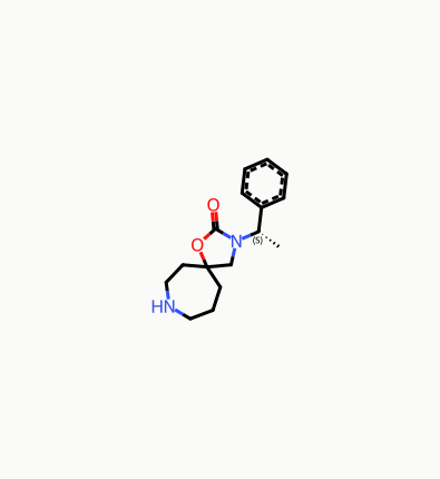 C[C@@H](c1ccccc1)N1CC2(CCCNCC2)OC1=O